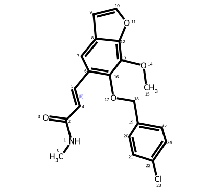 CNC(=O)/C=C/c1cc2ccoc2c(OC)c1OCc1ccc(Cl)cc1